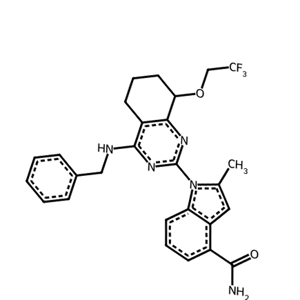 Cc1cc2c(C(N)=O)cccc2n1-c1nc(NCc2ccccc2)c2c(n1)C(OCC(F)(F)F)CCC2